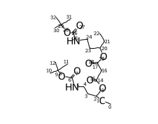 CCC(CCNC(=O)OC(C)(C)C)OC(=O)CC(=O)OC(CC)CCNC(=O)OC(C)(C)C